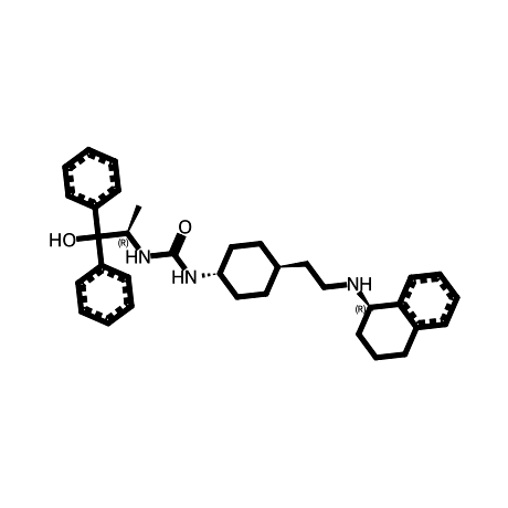 C[C@@H](NC(=O)N[C@H]1CC[C@H](CCN[C@@H]2CCCc3ccccc32)CC1)C(O)(c1ccccc1)c1ccccc1